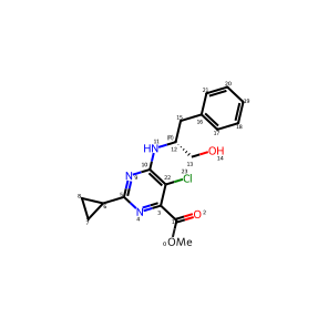 COC(=O)c1nc(C2CC2)nc(N[C@@H](CO)Cc2ccccc2)c1Cl